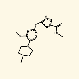 CNC(=O)c1c[nH]c(Sc2cc(OC)c(N3CCN(C)CC3)cn2)c1